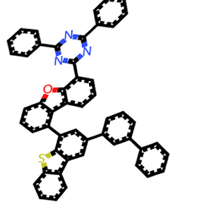 c1ccc(-c2cccc(-c3cc(-c4cccc5oc6c(-c7nc(-c8ccccc8)nc(-c8ccccc8)n7)cccc6c45)c4sc5ccccc5c4c3)c2)cc1